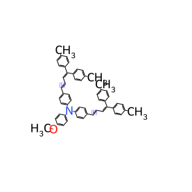 COc1ccc(N(c2ccc(/C=C/C=C(c3ccc(C)cc3)c3ccc(C)cc3)cc2)c2ccc(/C=C/C=C(c3ccc(C)cc3)c3ccc(C)cc3)cc2)cc1